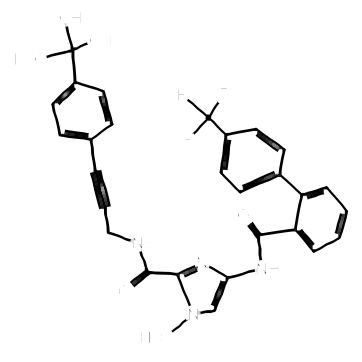 Cn1cc(NC(=O)c2ccccc2-c2ccc(C(F)(F)F)cc2)nc1C(=O)NCC#Cc1ccc(C(C)(C)C)cc1